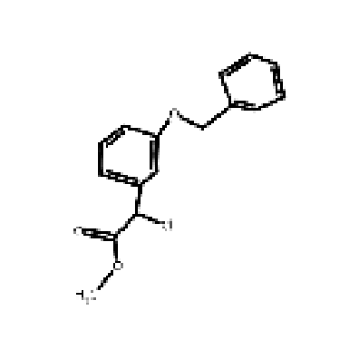 COC(=O)C(Cl)c1cccc(OCc2ccccc2)c1